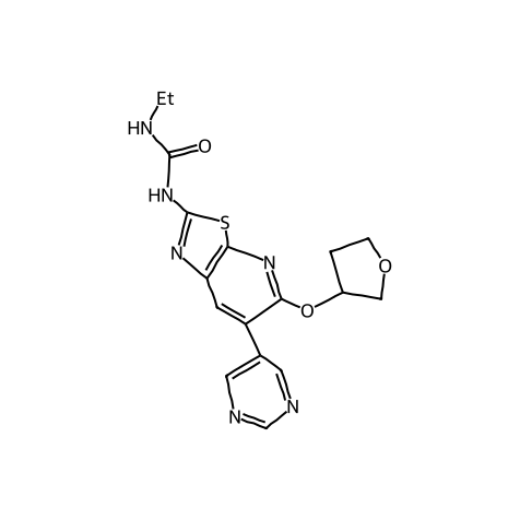 CCNC(=O)Nc1nc2cc(-c3cncnc3)c(OC3CCOC3)nc2s1